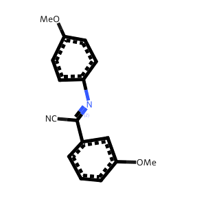 COc1ccc(/N=C(\C#N)c2cccc(OC)c2)cc1